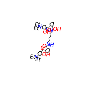 CCN(CC)c1ccc(C(=O)c2ccccc2C(=O)NCCCCCCNC(O)c2ccccc2C(=O)c2ccc(N(CC)CC)cc2O)c(O)c1